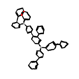 C1=C(N(c2ccc(-c3ccccc3)cc2)c2ccc(-c3ccccc3)cc2)CCC(c2ccc(N(c3ccccc3)c3ccccc3-c3ccccc3)cc2)=C1c1ccccc1